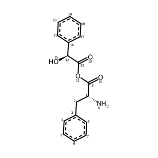 N[C@H](Cc1ccccc1)C(=O)OC(=O)[C@@H](O)c1ccccc1